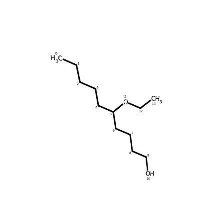 CCCCCC(CCCCO)OCC